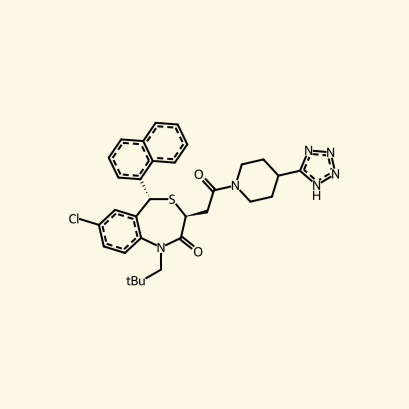 CC(C)(C)CN1C(=O)[C@H](CC(=O)N2CCC(c3nnn[nH]3)CC2)S[C@@H](c2cccc3ccccc23)c2cc(Cl)ccc21